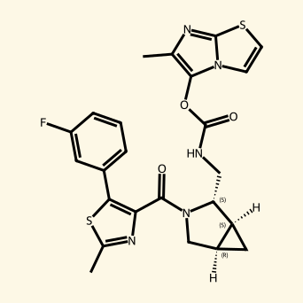 Cc1nc(C(=O)N2C[C@@H]3C[C@@H]3[C@H]2CNC(=O)Oc2c(C)nc3sccn23)c(-c2cccc(F)c2)s1